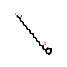 CCCCCCCCCCCCCCCCC(=O)Cc1ccccc1